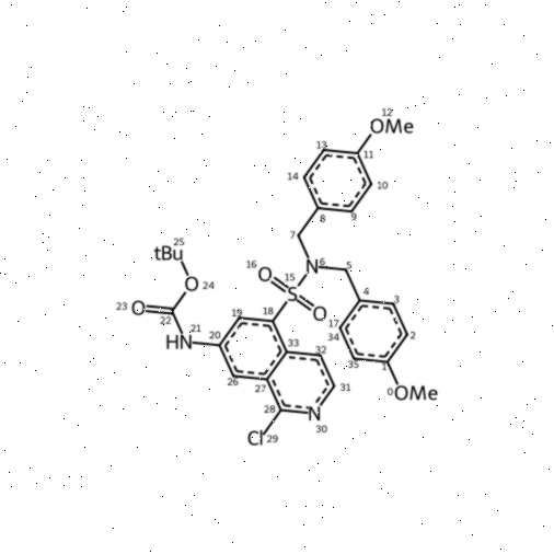 COc1ccc(CN(Cc2ccc(OC)cc2)S(=O)(=O)c2cc(NC(=O)OC(C)(C)C)cc3c(Cl)nccc23)cc1